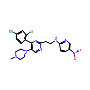 CN1CCN(c2cnc([CH]CNc3ccc([N+](=O)[O-])cn3)nc2-c2ccc(Cl)cc2Cl)CC1